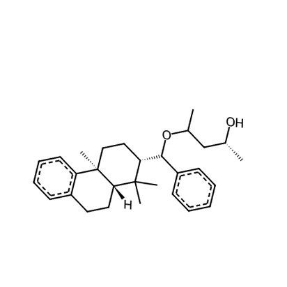 CC(C[C@@H](C)O)OC(c1ccccc1)[C@H]1CC[C@]2(C)c3ccccc3CC[C@H]2C1(C)C